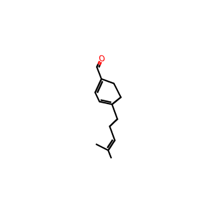 CC(C)=CCCC1=CC=C(C=O)CC1